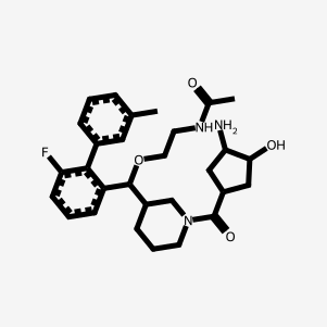 CC(=O)NCCOC(c1cccc(F)c1-c1cccc(C)c1)C1CCCN(C(=O)C2CC(N)C(O)C2)C1